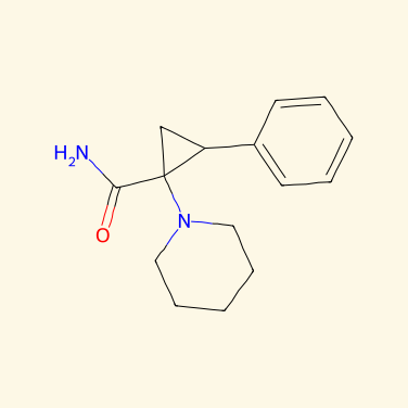 NC(=O)C1(N2CCCCC2)CC1c1ccccc1